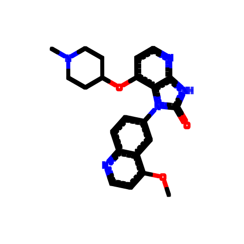 COc1ccnc2ccc(-n3c(=O)[nH]c4nccc(OC5CCN(C)CC5)c43)cc12